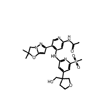 CC(=O)Nc1cc(Nc2cc(C3(CO)CCOC3)cc(S(C)(=O)=O)n2)c(-c2cc3n(n2)CC(C)(C)O3)cn1